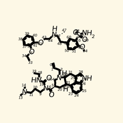 C=CCN1C[C@H](C(=O)N(CCCN(C)C)C(=O)NCC)C[C@@H]2c3cccc4[nH]cc(c34)C[C@H]21.CCOc1ccccc1OCCN[C@H](C)Cc1ccc(OC)c(S(N)(=O)=O)c1